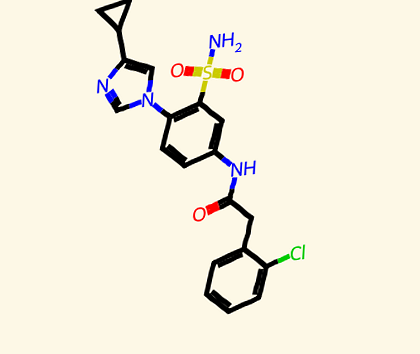 NS(=O)(=O)c1cc(NC(=O)Cc2ccccc2Cl)ccc1-n1cnc(C2CC2)c1